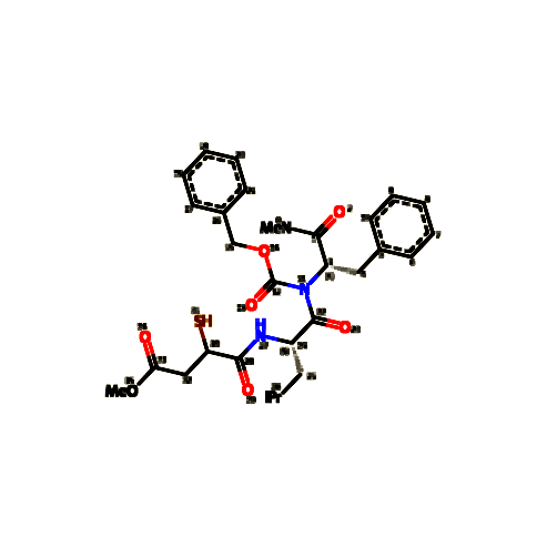 CNC(=O)[C@H](Cc1ccccc1)N(C(=O)OCc1ccccc1)C(=O)[C@H](CC(C)C)NC(=O)C(S)CC(=O)OC